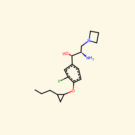 CCCC1CC1Oc1ccc([C@@H](O)[C@H](N)CN2CCC2)cc1F